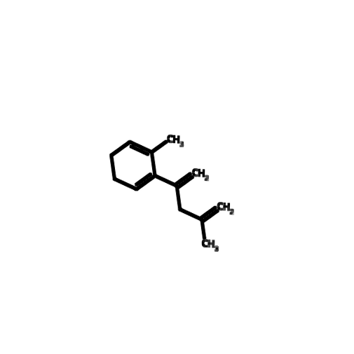 C=C(C)CC(=C)C1=CCCC=C1C